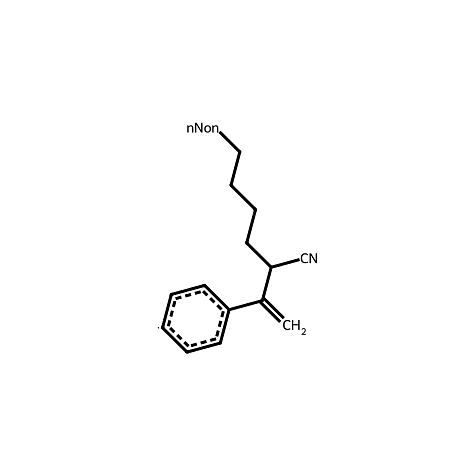 C=C(c1cc[c]cc1)C(C#N)CCCCCCCCCCCCC